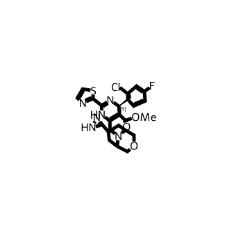 COC(=O)C1=C(CN2C3COCC2CC(C2=NN2)C3)NC(c2nccs2)=N[C@H]1c1ccc(F)cc1Cl